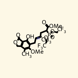 COC(=O)C(C/C(C)=C/Cc1c(O)c2c(c(C)c1OC)COC2=O)P(=O)(OCC(F)(F)F)OCC(F)(F)F